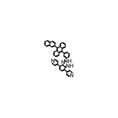 N=C1C(c2ccncc2)=CC=C(c2ccncc2)/C1=N/Nc1cccc(-c2c3ccccc3c(-c3ccc4ccccc4c3)c3ccccc23)c1